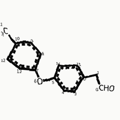 O=CCc1ccc(Oc2ccc(C(F)(F)F)cc2)cc1